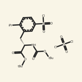 CC(C)c1ccc(S(=O)(=O)Cl)cc1C[C@H](NC(=O)OC(C)(C)C)C(=O)OC(C)(C)C.O=S(=O)(Cl)Cl